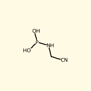 N#CCNP(O)O